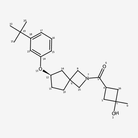 CC1(O)CC(C(=O)N2CC3(CC[C@@H](Oc4cccc(C(C)(C)C)c4)C3)C2)C1